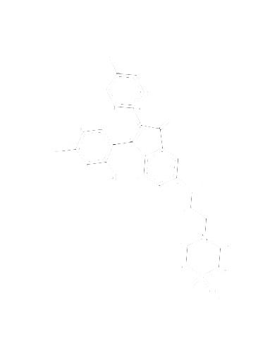 Cc1ccc(C2=C(c3ccc(F)cc3F)c3ccc(OCCN4CCS(=O)(=O)CC4)cc3C2=O)cc1